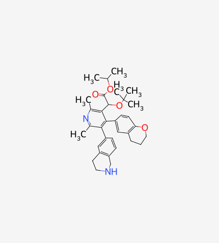 Cc1nc(C)c(C(OC(C)(C)C)C(=O)OC(C)C)c(-c2ccc3c(c2)CCCO3)c1-c1ccc2c(c1)CCNC2